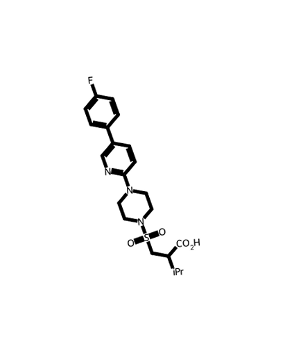 CC(C)C(CS(=O)(=O)N1CCN(c2ccc(-c3ccc(F)cc3)cn2)CC1)C(=O)O